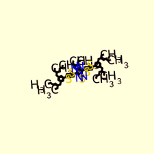 CCCCC(CC)Cc1cc(CC(CC)CCCC)cc(-c2cc3sc(-c4c5nsnc5c(-c5cc6sc(-c7cc(CC(CC)CCCC)cc(CC(CC)CCCC)c7)cc6s5)c5nc(CC)c(CC)nc45)cc3s2)c1